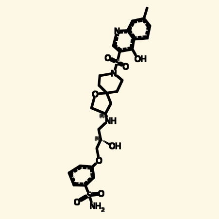 Cc1ccc2c(O)c(S(=O)(=O)N3CCC4(CC3)C[C@@H](NC[C@H](O)COc3cccc(S(N)(=O)=O)c3)CO4)cnc2c1